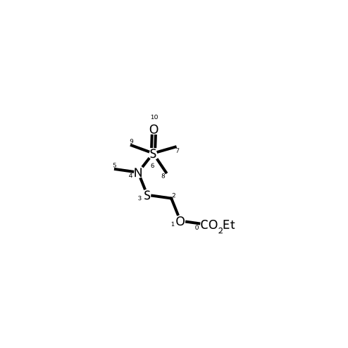 CCOC(=O)OCSN(C)S(C)(C)(C)=O